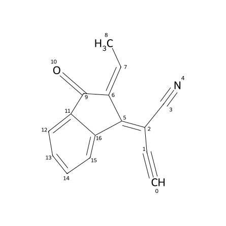 C#C/C(C#N)=C1/C(=C/C)C(=O)c2ccccc21